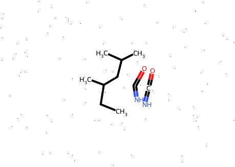 CCC(C)CC(C)C.N=C=O.N=C=O